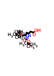 CC(C)(C)OC(=O)n1nc(CC(=O)O)cc1CO[Si](C)(C)C(C)(C)C